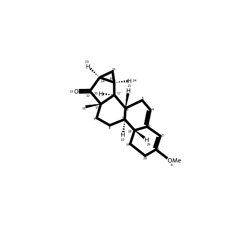 COC1=CC2=CC[C@@H]3[C@H](CC[C@]4(C)C(=O)[C@H]5C[C@H]5[C@@H]34)[C@H]2CC1